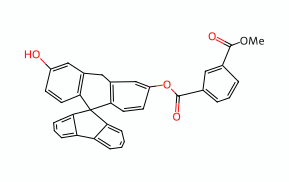 COC(=O)c1cccc(C(=O)Oc2ccc3c(c2)Cc2cc(O)ccc2C32c3ccccc3-c3ccccc32)c1